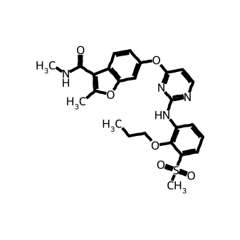 CCCOc1c(Nc2nccc(Oc3ccc4c(C(=O)NC)c(C)oc4c3)n2)cccc1S(C)(=O)=O